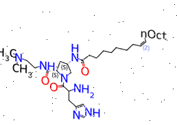 CCCCCCCC/C=C\CCCCCCCC(=O)N[C@H]1C[C@@H](C(=O)NCCN(C)C)N(C(=O)C(N)Cc2c[nH]cn2)C1